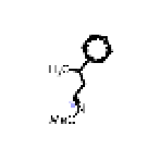 CO/N=C/CC(C)c1ccccc1